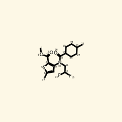 COC(=O)c1sc(I)cc1N(CC(F)F)C(=O)C1CCC(C)CC1